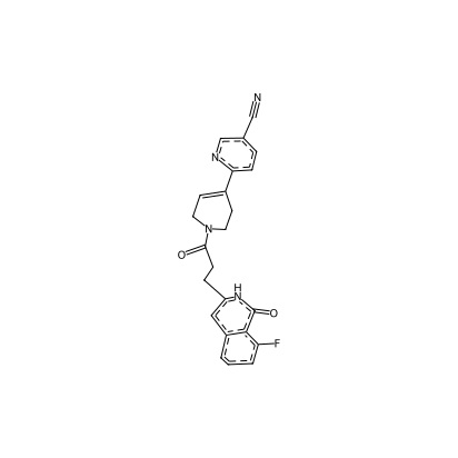 N#Cc1ccc(C2=CCN(C(=O)CCc3cc4cccc(F)c4c(=O)[nH]3)CC2)nc1